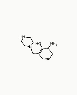 NC1CC=CC(CN2CCNCC2)=C1O